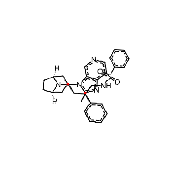 Cc1nc2ccncc2n1C1C[C@H]2CC[C@@H](C1)N2CCC(CNS(=O)(=O)c1ccccc1)c1ccccc1